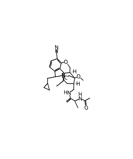 C=C(NC[C@H]1C[C@@]23CC[C@]1(OC)[C@@H]1COc4c(C#N)ccc(C)c4[C@@]12CCN(CC1CC1)C3C)C(C)NC(C)=O